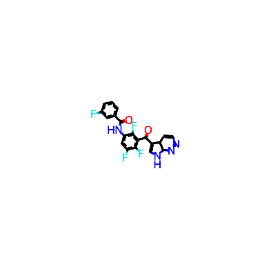 O=C(Nc1cc(F)c(F)c(C(=O)C2=CNC3N=NC=CC23)c1F)c1cccc(F)c1